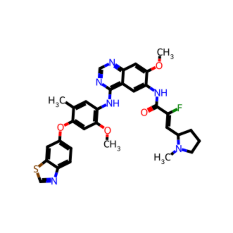 COc1cc2ncnc(Nc3cc(C)c(Oc4ccc5ncsc5c4)cc3OC)c2cc1NC(=O)C(F)=CC1CCCN1C